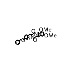 COc1cc(C=c2[nH]c(=O)c(=Cc3ccc(OCc4ccccc4)cn3)[nH]c2=O)cc(OC)c1